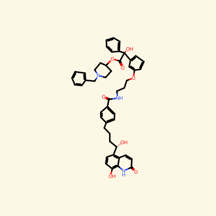 O=C(NCCCOc1cccc([C@](O)(C(=O)OC2CCN(Cc3ccccc3)CC2)c2ccccc2)c1)c1ccc(CCC[C@H](O)c2ccc(O)c3[nH]c(=O)ccc23)cc1